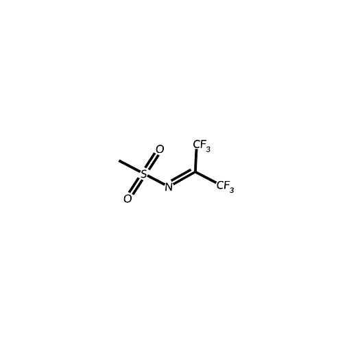 CS(=O)(=O)N=C(C(F)(F)F)C(F)(F)F